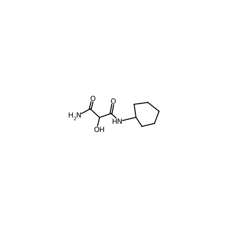 NC(=O)C(O)C(=O)NC1CCCCC1